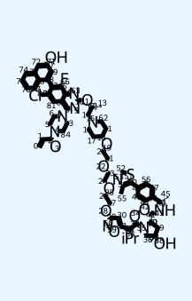 C=CC(=O)N1CCN(c2nc(O[C@H](C)CN3CCC(OCCOCCOCCOc4cc([C@H](C(=O)N5C[C@H](O)C[C@H]5C(=O)N[C@@H](C)c5ccc(-c6scnc6C)cc5)C(C)C)on4)CC3)nc3c(F)c(-c4cc(O)cc5ccccc45)c(Cl)cc23)CC1